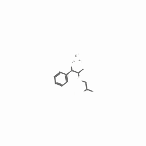 CC(O)COC(C)C(OP(O)O)c1ccccc1